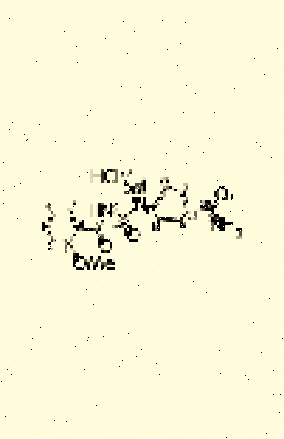 COc1ccccc1C(=O)NC(=O)N(S)c1ccc(C(N)=O)cc1.Cl